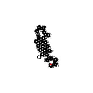 Clc1ccc(-c2c(-c3ccccc3)c(-c3ccc(-c4c(-c5ccccc5)c(-c5ccccc5)c(-c5ccc(Cl)cc5)c(-c5ccc(-n6c7ccccc7c7cc(-c8cccc9c8sc8c(-c%10ccccc%10)cccc89)ccc76)cc5)c4-c4ccccc4)cc3)c(-c3ccccc3)c(-c3ccccc3)c2-c2ccc(-n3c4ccccc4c4cc(-c5cccc6c5sc5c(-c7ccccc7)cccc56)ccc43)cc2)cc1